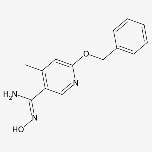 Cc1cc(OCc2ccccc2)ncc1/C(N)=N/O